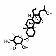 C[C@@H]1O[C@@H](O[C@H]2CC[C@@]3(C)[C@H](CC[C@@H]4[C@@H]3CC[C@]3(C)[C@@H]([C@@H](C)O)CC[C@]43N)C2)[C@H](O)[C@H](O)[C@H]1O